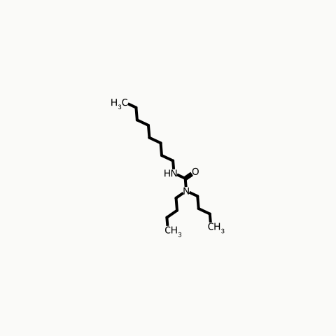 CCCCCCCCNC(=O)N(CCCC)CCCC